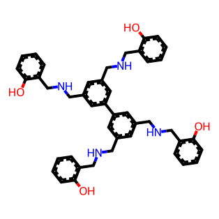 Oc1ccccc1CNCc1cc(CNCc2ccccc2O)cc(-c2cc(CNCc3ccccc3O)cc(CNCc3ccccc3O)c2)c1